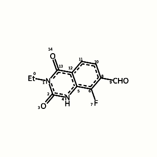 CCn1c(=O)[nH]c2c(F)c(C=O)ccc2c1=O